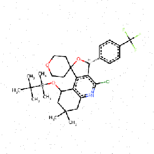 CC1(C)Cc2nc(Cl)c3c(c2C(O[Si](C)(C)C(C)(C)C)C1)C1(CCOCC1)O[C@@H]3c1ccc(C(F)(F)F)cc1